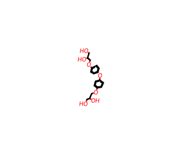 OCC(O)COc1ccc(Oc2ccc(OCC(O)CO)cc2)cc1